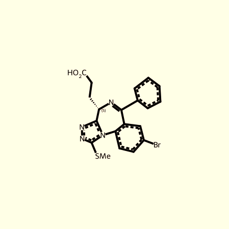 CSc1nnc2n1-c1ccc(Br)cc1C(c1ccccc1)=N[C@H]2CCC(=O)O